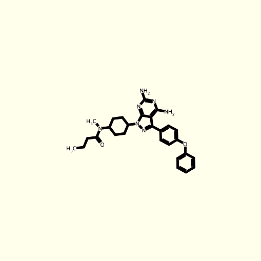 CCCC(=O)N(C)C1CCC(n2nc(-c3ccc(Oc4ccccc4)cc3)c3c(N)nc(N)nc32)CC1